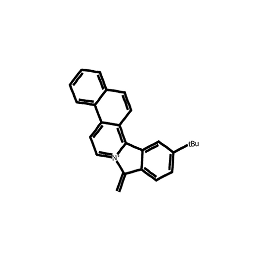 C=C1c2ccc(C(C)(C)C)cc2-c2c3ccc4ccccc4c3cc[n+]21